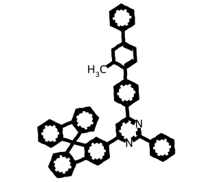 CC1CC(c2ccccc2)=CC=C1c1ccc(-c2cc(-c3ccc4c(c3)C3(c5ccccc5-c5ccccc53)c3ccccc3-4)nc(-c3ccccc3)n2)cc1